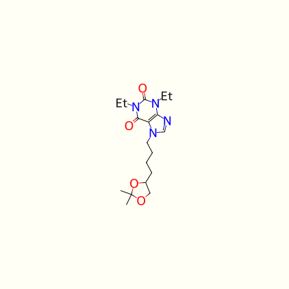 CCn1c(=O)c2c(ncn2CCCCC2COC(C)(C)O2)n(CC)c1=O